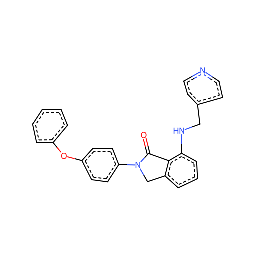 O=C1c2c(cccc2NCc2ccncc2)CN1c1ccc(Oc2ccccc2)cc1